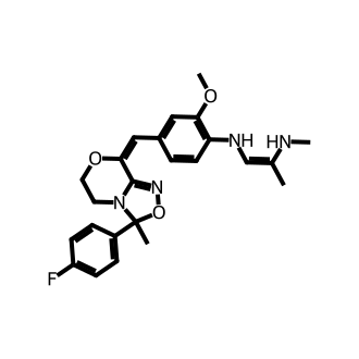 CN/C(C)=C\Nc1ccc(/C=C2/OCCN3C2=NOC3(C)c2ccc(F)cc2)cc1OC